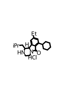 CCc1cc(C2CCCCC2)c2c(c1)[C@H]1C(CC(C)C)NCCN1C2=O.Cl